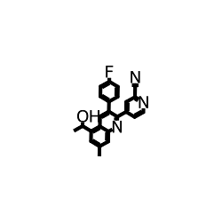 Cc1cc(C(C)O)c2cc(-c3ccc(F)cc3)c(-c3ccnc(C#N)c3)nc2c1